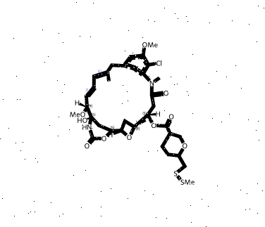 COc1cc2cc(c1Cl)N(C)C(=O)C[C@H](OC(=O)C1CCC(CSSC)OC1)[C@@]1(C)CC(C)(O1)[C@@H]1C[C@@](O)(NC(=O)O1)[C@H](OC)/C=C/C=C(\C)C2